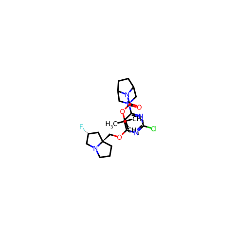 CC(C)(C)OC(=O)N1C2CCC1CN(c1cc(OC[C@@]34CCCN3C[C@H](F)C4)nc(Cl)n1)C2